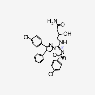 NC(=O)CC(O)CN/C(=N/S(=O)(=O)c1ccc(Cl)cc1)N1CC(c2ccccc2)C(c2ccc(Cl)cc2)=N1